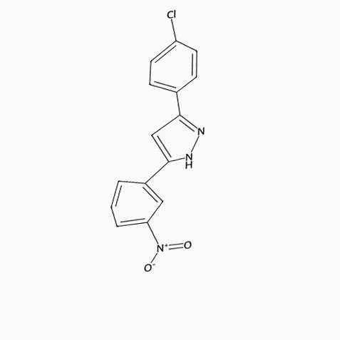 O=[N+]([O-])c1cccc(-c2cc(-c3ccc(Cl)cc3)n[nH]2)c1